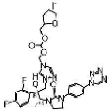 C[C@@H](N1CCN(c2ccc(-n3cnnn3)cc2)C1=O)[C@](O)(C[n+]1cn(COC(=O)OCC2CCCO2)cn1)c1ccc(F)cc1F.[I-]